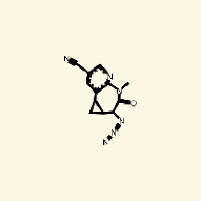 CN1C(=O)C(N=[N+]=[N-])C2CC2c2cc(C#N)cnc21